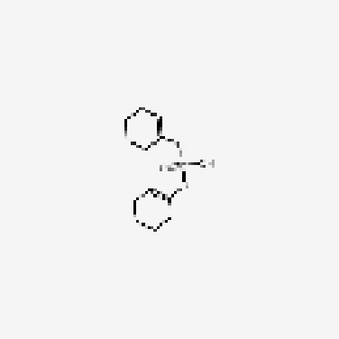 O=P(O)(OC1=CCCCC1)OC1=CCCCC1